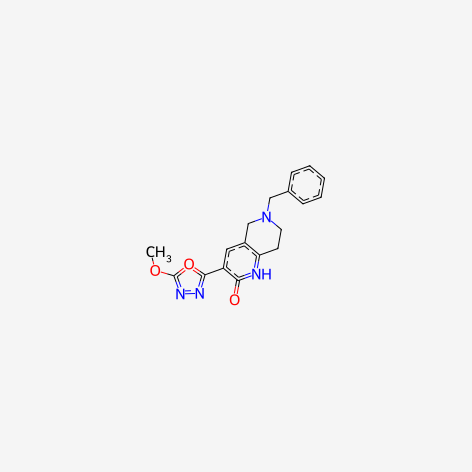 COc1nnc(-c2cc3c([nH]c2=O)CCN(Cc2ccccc2)C3)o1